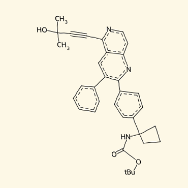 CC(C)(O)C#Cc1nccc2nc(-c3ccc(C4(NC(=O)OC(C)(C)C)CCC4)cc3)c(-c3ccccc3)cc12